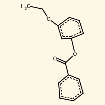 CCOc1cccc(OC(=O)c2ccccc2)c1